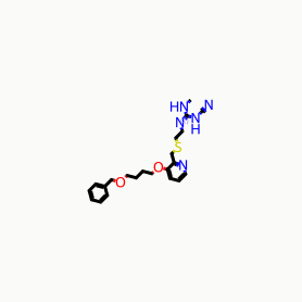 CN/C(=N/CCSCc1ncccc1OCCCCOCc1ccccc1)NC#N